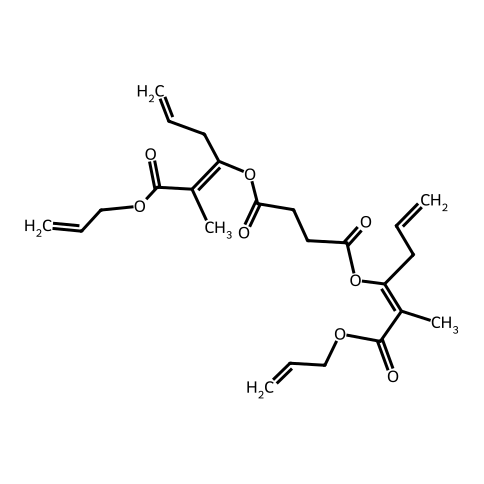 C=CCOC(=O)C(C)=C(CC=C)OC(=O)CCC(=O)OC(CC=C)=C(C)C(=O)OCC=C